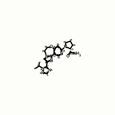 CC(C)n1ncnc1-c1cn2c(n1)-c1cnc(N3CCC[C@@H]3C(N)=O)cc1OCC2